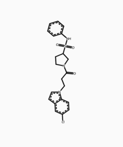 O=C(CCn1ccc2cc(Cl)ccc21)N1CCC(S(=O)(=O)Nc2ccccc2)C1